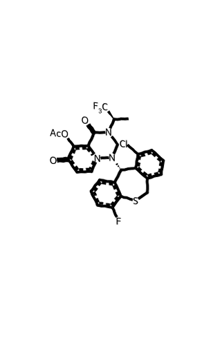 CC(=O)Oc1c2n(ccc1=O)N([C@H]1c3cccc(F)c3SCc3cccc(Cl)c31)CN([C@H](C)C(F)(F)F)C2=O